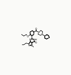 CCCOc1ccc(C(=O)N2CCN(c3ccccc3)CC2)cc1-c1nc2c(CCC)nn(C)c2c(=O)[nH]1